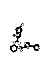 O=C(N[C@H]1CCCC[C@@H]1NC(=O)c1ncc(-c2ccncc2)s1)c1cc2cc(Cl)ccc2[nH]1